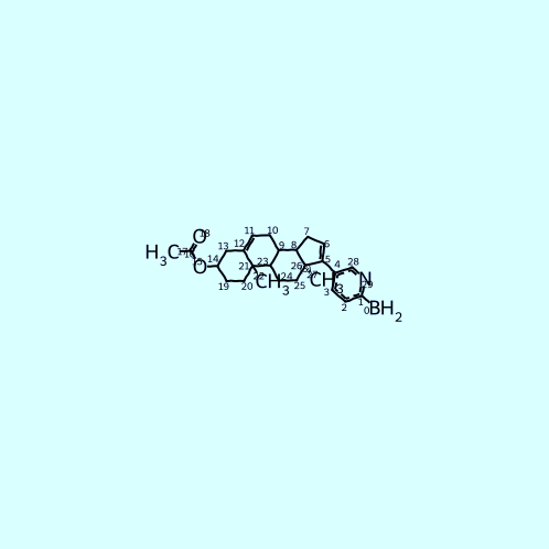 Bc1ccc(C2=CCC3C4CC=C5CC(OC(C)=O)CCC5(C)C4CC[C@]23C)cn1